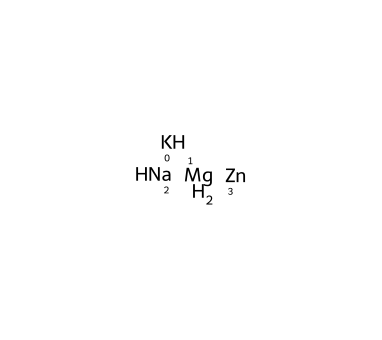 [KH].[MgH2].[NaH].[Zn]